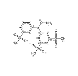 CS(=O)(=O)c1cccc(C(ON)c2cc(S(=O)(=O)O)cc(S(=O)(=O)O)c2)c1